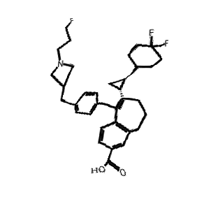 O=C(O)c1ccc2c(c1)CCCC([C@@H]1C[C@H]1C1CCC(F)(F)CC1)=C2c1ccc(CC2CN(CCCF)C2)cc1